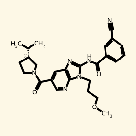 COCCCn1c(NC(=O)c2cccc(C#N)c2)nc2cc(C(=O)N3CC[C@H](C(C)C)C3)cnc21